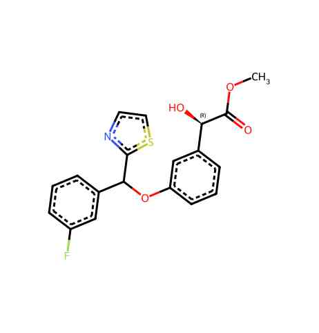 COC(=O)[C@H](O)c1cccc(OC(c2cccc(F)c2)c2nccs2)c1